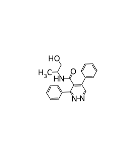 CC(CO)NC(=O)c1c(-c2ccccc2)cnnc1-c1ccccc1